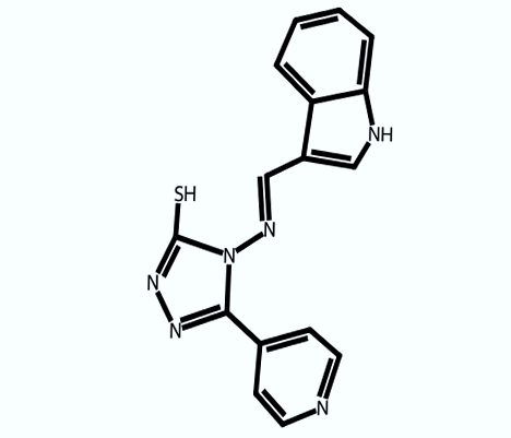 Sc1nnc(-c2ccncc2)n1/N=C/c1c[nH]c2ccccc12